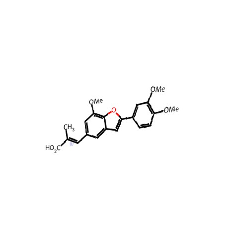 COc1ccc(-c2cc3cc(/C=C(\C)C(=O)O)cc(OC)c3o2)cc1OC